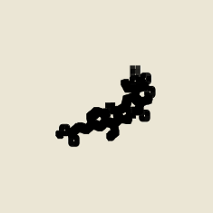 CCc1c2c(nc3ccc(C=CC(=O)OC)cc13)-c1cc3c(c(=O)n1C2)COC(=O)[C@]3(O)CC